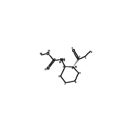 CCC(=O)[C@@H]1CCCCC1NC(=O)OC